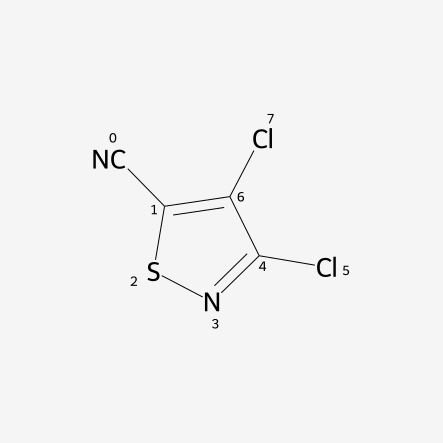 N#Cc1snc(Cl)c1Cl